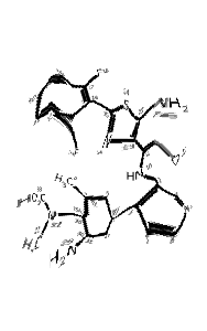 C[C@H]1C[C@@H](c2ccncc2NC(=O)c2nc(-c3c(F)cccc3F)sc2N)C[C@@H](N)[C@H]1N(C)C(=O)O